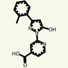 Cc1ccccc1-c1cc(O)n(-c2cc(C(=O)O)ccn2)n1